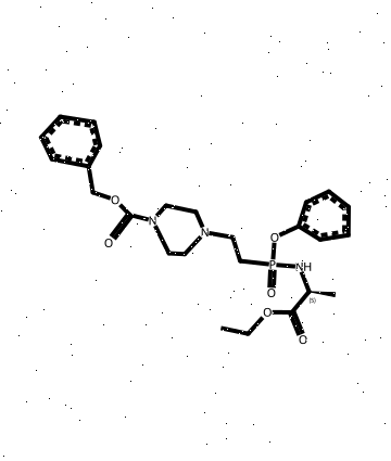 CCOC(=O)[C@H](C)NP(=O)(CCN1CCN(C(=O)OCc2ccccc2)CC1)Oc1ccccc1